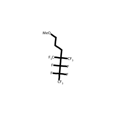 COCCCC(C(F)(F)F)(C(F)(F)F)C(F)(F)C(F)(F)C(F)(F)F